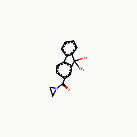 O=C(c1ccc2c(c1)C(O)(C(F)(F)F)c1ccccc1-2)N1CC1